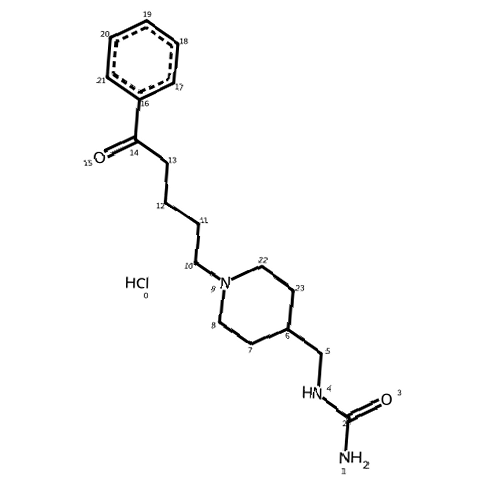 Cl.NC(=O)NCC1CCN(CCCCC(=O)c2ccccc2)CC1